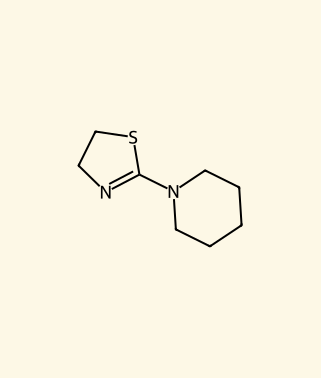 C1CCN(C2=NCCS2)CC1